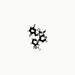 Cn1c(=O)n(Cc2cc(F)ccc2F)c2c(N3CCCC(N)C3)ccnc21